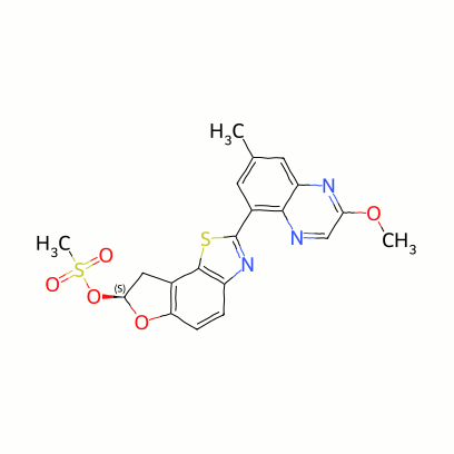 COc1cnc2c(-c3nc4ccc5c(c4s3)C[C@H](OS(C)(=O)=O)O5)cc(C)cc2n1